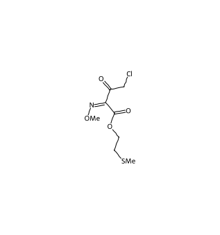 CON=C(C(=O)CCl)C(=O)OCCSC